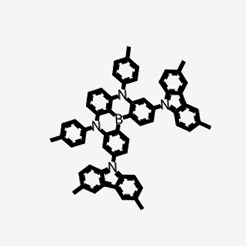 Cc1ccc(N2c3cc(-n4c5ccc(C)cc5c5cc(C)ccc54)ccc3B3c4ccc(-n5c6ccc(C)cc6c6cc(C)ccc65)cc4N(c4ccc(C)cc4)c4cccc2c43)cc1